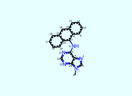 Cn1cnc2c(Nc3c4ccccc4cc4ccccc34)ncnc21